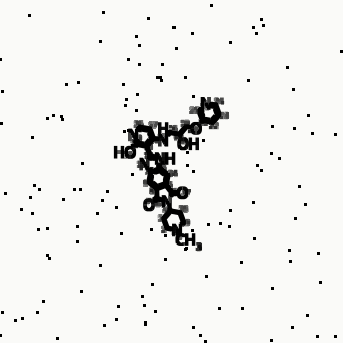 CN1CCC(N2C(=O)c3cc4nc(-c5c(NC[C@@H](O)COc6cccnc6)ccnc5O)[nH]c4cc3C2=O)CC1